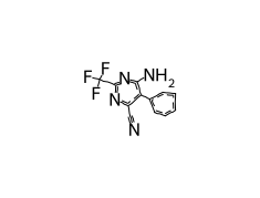 N#Cc1nc(C(F)(F)F)nc(N)c1-c1ccccc1